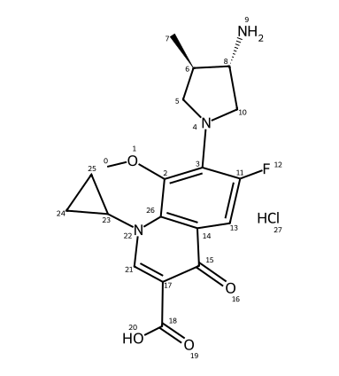 COc1c(N2C[C@@H](C)[C@H](N)C2)c(F)cc2c(=O)c(C(=O)O)cn(C3CC3)c12.Cl